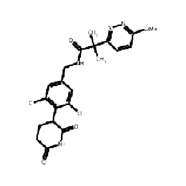 COc1ccc(C(C)(C)C(=O)NCc2cc(Cl)c(C3CCC(=O)NC3=O)c(Cl)c2)nn1